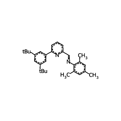 Cc1cc(C)c(N=Cc2cccc(-c3cc(C(C)(C)C)cc(C(C)(C)C)c3)n2)c(C)c1